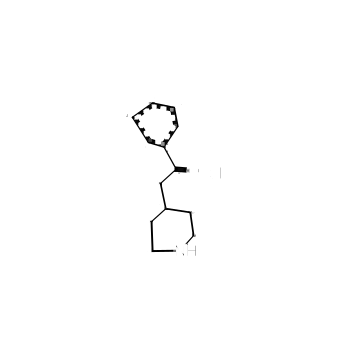 Cl.O=C(CC1CCNCC1)c1ccccc1